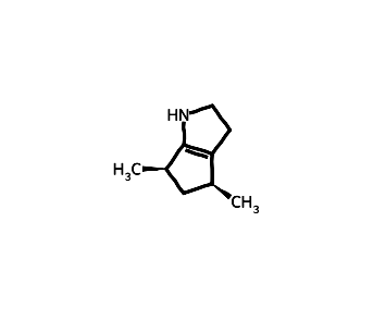 C[C@@H]1C[C@H](C)C2=C1NCC2